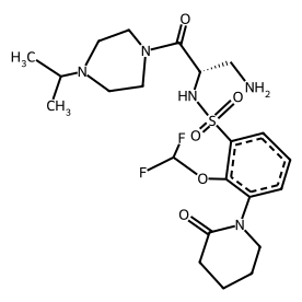 CC(C)N1CCN(C(=O)[C@H](CN)NS(=O)(=O)c2cccc(N3CCCCC3=O)c2OC(F)F)CC1